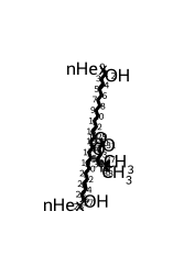 CCCCCCC(O)CC=CCCCCCCCCC(CCCCCCCCC=CCC(O)CCCCCC)OC(=O)OCCCN(C)C